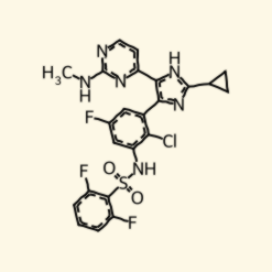 CNc1nccc(-c2[nH]c(C3CC3)nc2-c2cc(F)cc(NS(=O)(=O)c3c(F)cccc3F)c2Cl)n1